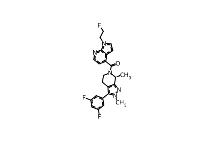 C[C@H]1c2nn(C)c(-c3cc(F)cc(F)c3)c2CCN1C(=O)c1ccnc2c1ccn2CCF